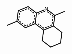 Cc1ccc2nc(C)c3c(c2c1)CCCC3